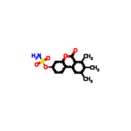 Cc1cc2c(c(C)c1C)c(=O)oc1cc(OS(N)(=O)=O)ccc12